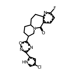 O=C1c2ccc(F)nc2CCC2CCC(c3nc(-c4cc(Cl)c[nH]4)no3)CN12